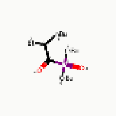 CCCCC(CC)C(=O)P(=O)(OCC(C)C)OCC(C)C